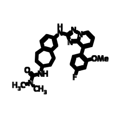 COc1cc(F)ccc1-c1cccn2nc(Nc3ccc4c(c3)CCC(NC(=O)N(C)C)CC4)nc12